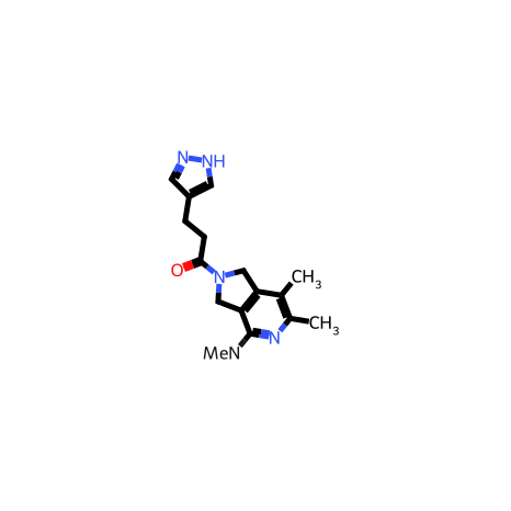 CNc1nc(C)c(C)c2c1CN(C(=O)CCc1cn[nH]c1)C2